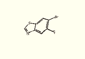 Fc1cc2ncsc2cc1Br